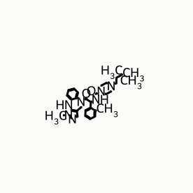 Cc1ccccc1C(NC(=O)N1CCN(CCC(C)(C)C)CC1)C(=O)N1Cc2cnn(C)c2Nc2ccccc21